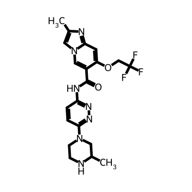 Cc1cn2cc(C(=O)Nc3ccc(N4CCNC(C)C4)nn3)c(OCC(F)(F)F)cc2n1